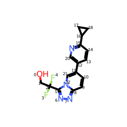 OCC(F)(F)c1nnc2ccc(-c3ccc(C4CC4)nc3)cn12